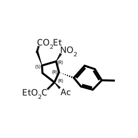 CCOC(=O)C[C@@H]1C[C@@](C(C)=O)(C(=O)OCC)[C@@H](c2ccc(C)cc2)[C@@H]1[N+](=O)[O-]